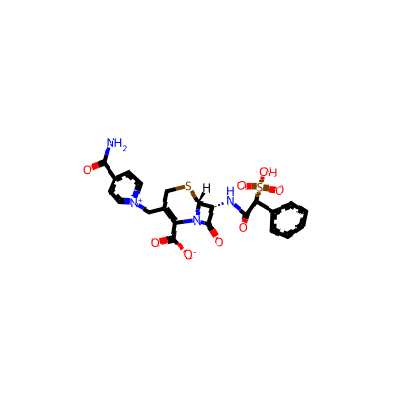 NC(=O)c1cc[n+](CC2=C(C(=O)[O-])N3C(=O)[C@@H](NC(=O)C(c4ccccc4)S(=O)(=O)O)[C@H]3SC2)cc1